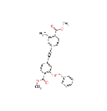 COC(=O)c1ccc(C#Cc2ccc(C(=O)OC)c(OCc3ccccc3)c2)cc1C